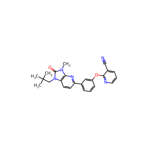 Cn1c(=O)n(CC(C)(C)C)c2ccc(-c3cccc(Oc4ncccc4C#N)c3)nc21